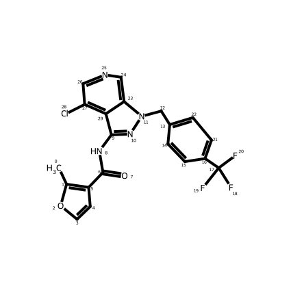 Cc1occc1C(=O)Nc1nn(Cc2ccc(C(F)(F)F)cc2)c2cncc(Cl)c12